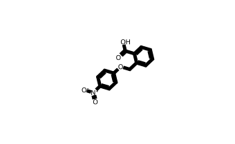 O=C(O)c1ccccc1COc1ccc([N+](=O)[O-])cc1